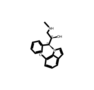 CNC[C@@H](O)[C@H](c1ccccc1)n1ccc2cccc(Cl)c21